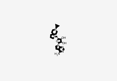 Nc1ncnc2c1ccn2[C@@H]1O[C@H](CN2CCCC23CCN(C2CC2)CC3)[C@@H](O)[C@H]1O